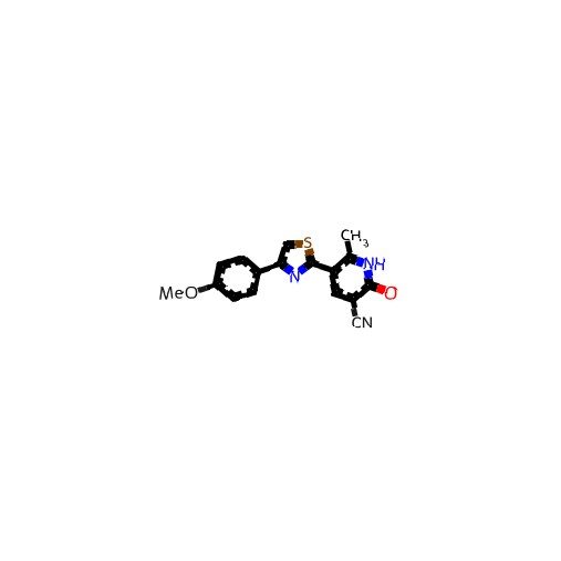 COc1ccc(-c2csc(-c3cc(C#N)c(=O)[nH]c3C)n2)cc1